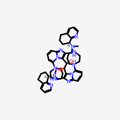 CN(Cc1nc2cccc(N3CCCNCC3)n2c1C(O)C(O)c1c(CN(C)[C@H]2CCCc3cccnc32)nc2cccc(N3CCCNCC3)n12)[C@H]1CCCc2cccnc21